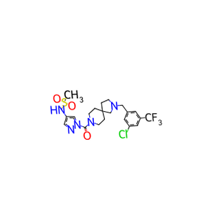 CS(=O)(=O)Nc1cnn(C(=O)N2CCC3(CCN(Cc4cc(Cl)cc(C(F)(F)F)c4)C3)CC2)c1